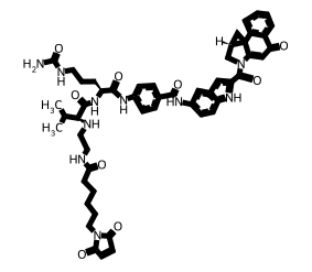 CC(C)[C@H](NCCNC(=O)CCCCCN1C(=O)C=CC1=O)C(=O)N[C@@H](CCCNC(N)=O)C(=O)Nc1ccc(C(=O)Nc2ccc3[nH]c(C(=O)N4C[C@H]5CC56C4=CC(=O)c4ccccc46)cc3c2)cc1